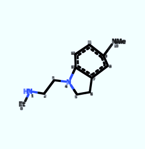 CCNCCN1CCc2cc(NC)ccc21